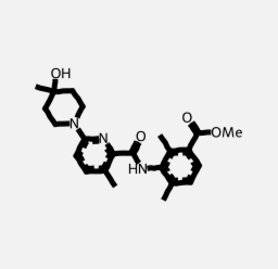 COC(=O)c1ccc(C)c(NC(=O)c2nc(N3CCC(C)(O)CC3)ccc2C)c1C